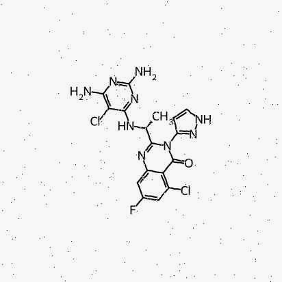 C[C@H](Nc1nc(N)nc(N)c1Cl)c1nc2cc(F)cc(Cl)c2c(=O)n1-c1cc[nH]n1